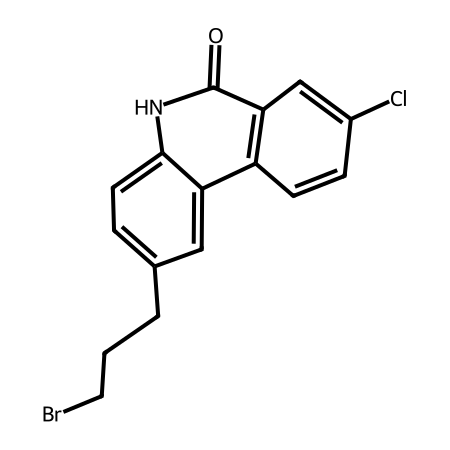 O=c1[nH]c2ccc(CCCBr)cc2c2ccc(Cl)cc12